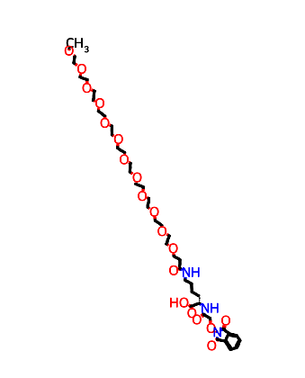 COCCOCCOCCOCCOCCOCCOCCOCCOCCOCCOCCOCCC(=O)NCCCC[C@H](NC(=O)CON1C(=O)c2ccccc2C1=O)C(=O)O